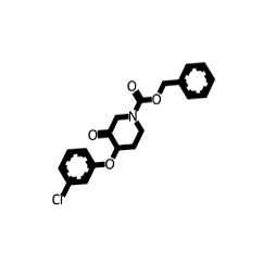 O=C1CN(C(=O)OCc2ccccc2)CCC1Oc1cccc(Cl)c1